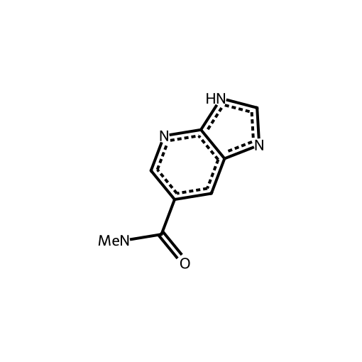 CNC(=O)c1cnc2[nH]cnc2c1